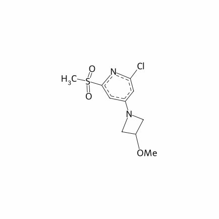 COC1CN(c2cc(Cl)nc(S(C)(=O)=O)c2)C1